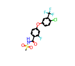 CS(=O)(=O)NC(=O)c1ccc(Oc2ccc(Cl)c(C(F)(F)F)c2)cc1F